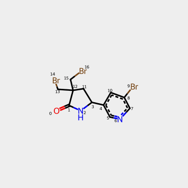 O=C1NC(c2cncc(Br)c2)CC1(CBr)CBr